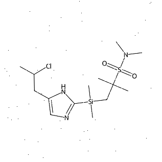 CC(Cl)Cc1cnc([Si](C)(C)CC(C)(C)S(=O)(=O)N(C)C)[nH]1